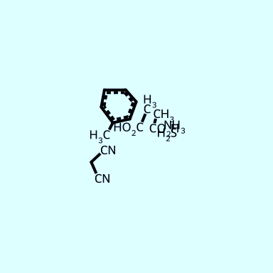 CC(=O)O.CC(=O)O.Cc1ccccc1.N.N#CCC#N.S